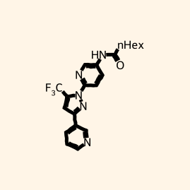 CCCCCCC(=O)Nc1ccc(-n2nc(-c3cccnc3)cc2C(F)(F)F)nc1